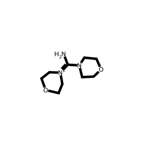 NC(N1CCOCC1)=[N+]1CCOCC1